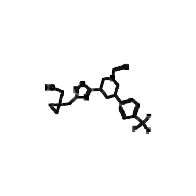 O=CN1CC(c2ccc(C(F)(F)F)cc2)CC(c2nc(CC3(CO)CC3)no2)C1